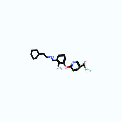 Cc1c(CNCCC2CCCCC2)cccc1Oc1ccc(C(N)=O)cn1